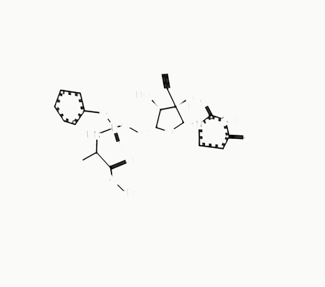 C#C[C@@]1(O)[C@H](O)[C@@H](COP(=S)(NC(C)C(=O)OC(C)C)Oc2ccccc2)O[C@H]1n1ccc(=O)[nH]c1=O